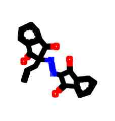 C=CCC1(N=NC2C(=O)c3ccccc3C2=O)C(=O)c2ccccc2C1=O